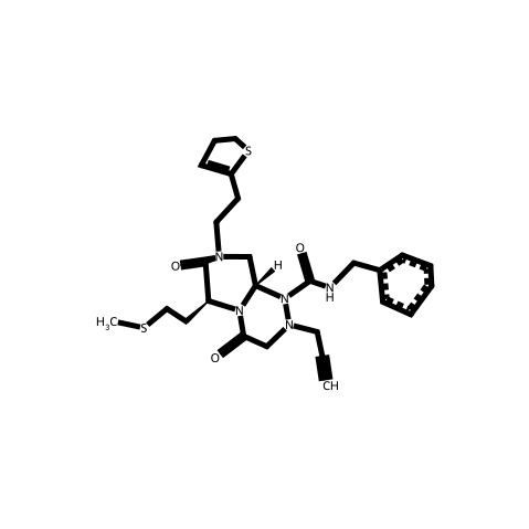 C#CCN1CC(=O)N2[C@@H](CCSC)C(=O)N(CCC3=CCCS3)C[C@@H]2N1C(=O)NCc1ccccc1